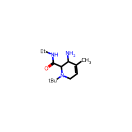 CCNC(=O)C1C(N)C(C)=CCN1C(C)(C)C